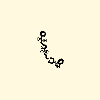 O=C(NCc1ccc(S(=O)(=O)CC=CN2CCC(n3nnc4ccccc43)CC2)s1)C1=CCCC=C1